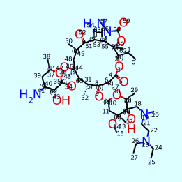 CC[C@H]1OC(=O)[C@H](C)[C@@H](O[C@H]2C[C@@](C)(OC)[C@@](O)(CN(C)CCN(CC)CC)[C@H](C)O2)[C@H](C)[C@@H](O[C@@H]2O[C@H](C)C[C@H](N)[C@H]2O)[C@@](C)(OC)C[C@@H](C)C(=O)[C@@H](C)[C@H]2N(N)C(=O)O[C@]12C